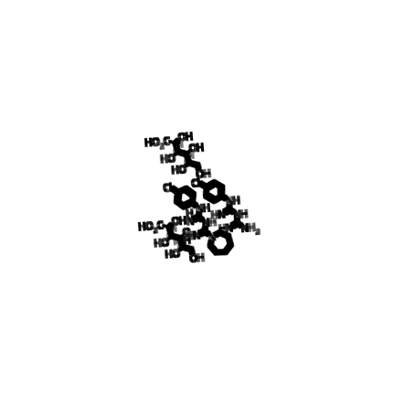 N=C(N)NC(=N)Nc1ccc(Cl)cc1.N=C(NC(=N)N1CCCCCC1)Nc1ccc(Cl)cc1.O=C(O)[C@H](O)[C@@H](O)[C@H](O)[C@H](O)CO.O=C(O)[C@H](O)[C@@H](O)[C@H](O)[C@H](O)CO